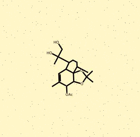 CC(=O)OC1C(C)=CC2C(C(C)(O)CO)CCC(C)C23OC(C)(C)OC13